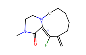 C=C1CCCCCN2CCN(C)C(=O)/C2=C/1F